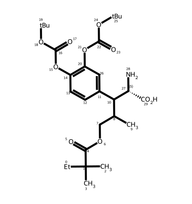 CCC(C)(C)C(=O)OCC(C)C(c1ccc(OC(=O)OC(C)(C)C)c(OC(=O)OC(C)(C)C)c1)[C@H](N)C(=O)O